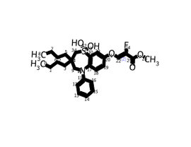 CCCCC1(CCCC)CN(c2ccccc2)c2ccc(O/C=C(\F)C(=O)OC)cc2S(O)(O)C1